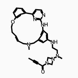 CC#CC(=O)N1CN(N(C)CCNc2cc3cc(c2)Nc2nccc(n2)-c2cccc(c2)OCC/C=C/CN(C)C3)C1